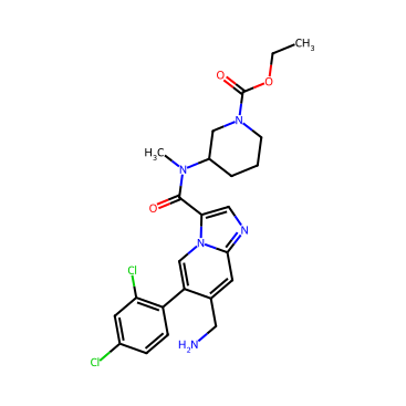 CCOC(=O)N1CCCC(N(C)C(=O)c2cnc3cc(CN)c(-c4ccc(Cl)cc4Cl)cn23)C1